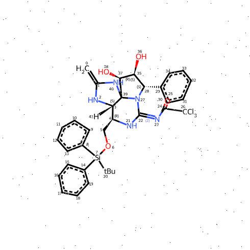 C=C1N[C@H]2[C@H](CO[Si](c3ccccc3)(c3ccccc3)C(C)(C)C)N/C(=N/C(=O)C(Cl)(Cl)Cl)N3[C@@H](c4ccccc4)[C@H](O)[C@H](O)C23N1